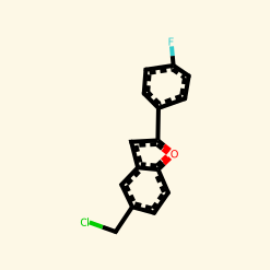 Fc1ccc(-c2cc3cc(CCl)ccc3o2)cc1